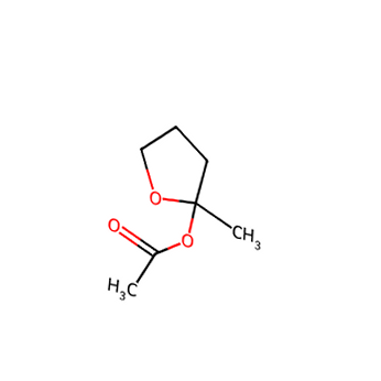 CC(=O)OC1(C)CCCO1